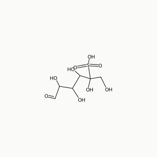 O=CC(O)C(O)C(O)C(O)(CO)S(=O)(=O)O